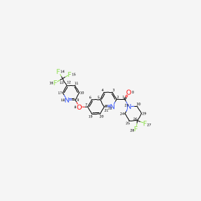 O=C(c1ccc2cc(Oc3ccc(C(F)(F)F)cn3)ccc2n1)N1CCC(F)(F)CC1